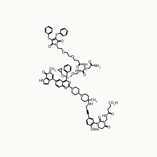 COc1ccc(C#CCNC2(C)CCN(C3CCN(c4nc([C@@](COCNC(=O)[C@H](CC(N)=O)NC(=O)CCOCCOCCN5C(=O)C(Sc6ccccc6)=C(Sc6ccccc6)C5=O)(OC5CC5)c5ccccc5)c5cc(-c6cn(C)c(=O)c7[nH]ccc67)ccc5n4)CC3)CC2)cc1N1CCC(=O)N(CNC(=O)CCC(=O)O)C1=O